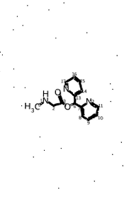 CNCC(=O)OC(c1ccccn1)c1ccccn1